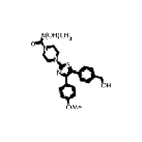 COc1ccc(-c2nc(N3CCN(C(=O)N(C)O)CC3)sc2-c2ccc(CO)cc2)cc1